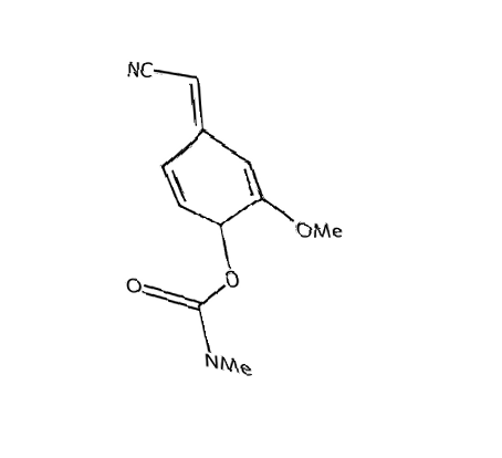 CNC(=O)OC1C=C/C(=C\C#N)C=C1OC